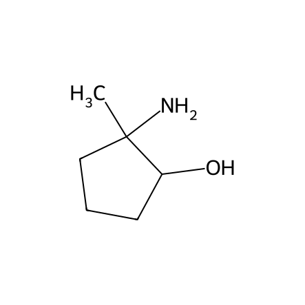 CC1(N)CCCC1O